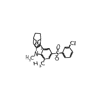 Cc1cc(S(=O)(=O)c2cccc(Cl)c2)cc2c3c(n(C)c12)CC1CCC3N1C